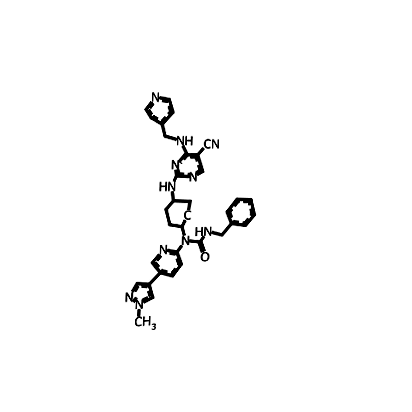 Cn1cc(-c2ccc(N(C(=O)NCc3ccccc3)C3CCC(Nc4ncc(C#N)c(NCc5ccncc5)n4)CC3)nc2)cn1